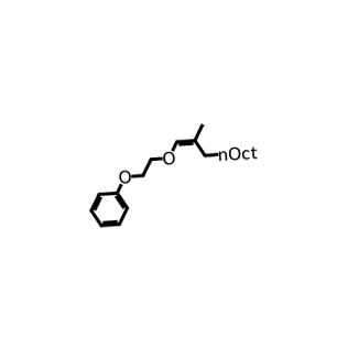 CCCCCCCCCC(C)=COCCOc1ccccc1